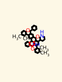 Cc1cccc(-c2cc(C3CCCNC3)c(C(=O)c3cc(C(=O)c4ccccc4)c(-c4cccc(C)c4C)cc3C3CCCNC3)cc2C(=O)c2ccccc2)c1C